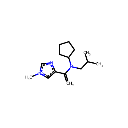 C=C(c1cn(C)cn1)N(CC(C)C)C1CCCC1